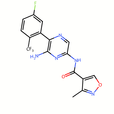 Cc1nocc1C(=O)Nc1cnc(-c2cc(F)ccc2C(F)(F)F)c(N)n1